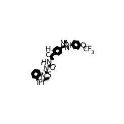 C/C(=C\NC(=O)/N=C1\SCCN1c1ccccc1C(C)C)c1ccc(-c2ncn(-c3ccc(OC(F)(F)F)cc3)n2)cc1